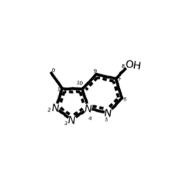 Cc1nnn2ncc(O)cc12